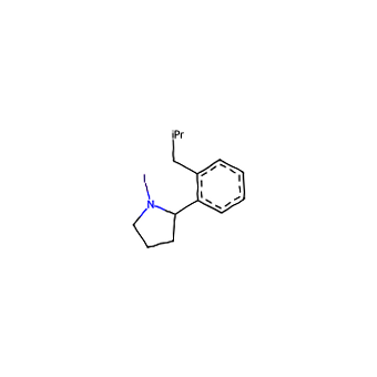 CC(C)Cc1ccccc1C1CCCN1I